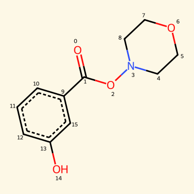 O=C(ON1CCOCC1)c1cccc(O)c1